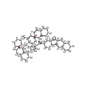 c1ccc2c(c1)Sc1ccccc1C21c2cc(N(c3ccc4c(c3)oc3cc5ccccc5cc34)c3cccc4ccccc34)ccc2-c2cccc3cccc1c23